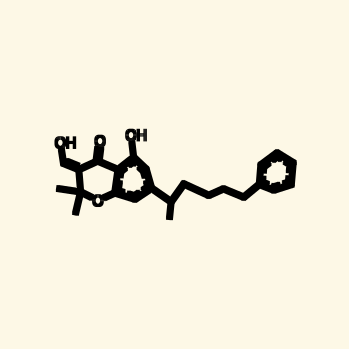 CC(CCCCc1ccccc1)c1cc(O)c2c(c1)OC(C)(C)C(=CO)C2=O